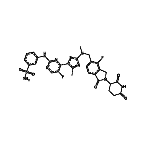 Cc1nc(N(C)Cc2ccc3c(c2F)CN(C2CCC(=O)NC2=O)C3=O)sc1-c1nc(Nc2cccc(S(N)(=O)=O)c2)ncc1F